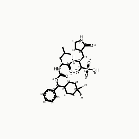 CC(C)C[C@H](NC(=O)OC(c1ccccc1)C1CCC(F)(F)CC1)C(=O)N[C@@H](CC1CCNC1=O)C(O)S(=O)(=O)O